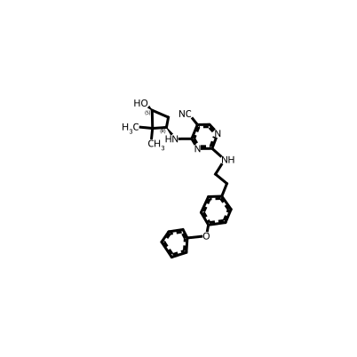 CC1(C)[C@@H](O)C[C@H]1Nc1nc(NCCc2ccc(Oc3ccccc3)cc2)ncc1C#N